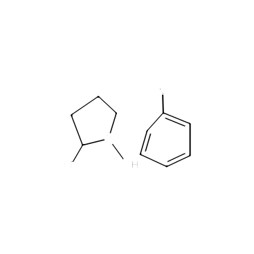 Clc1ccccc1.OP1CCCC1Cl